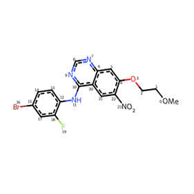 COCCOc1cc2ncnc(Nc3ccc(Br)cc3F)c2cc1[N+](=O)[O-]